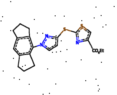 CCOC(=O)c1csc(Sc2ccn(-c3c4c(cc5c3CCC5)CCC4)n2)n1